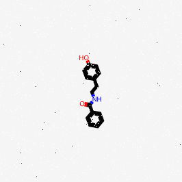 O=C(NCCc1ccc(O)cc1)c1ccccc1